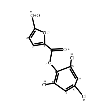 O=Cc1ccc(C(=O)Oc2c(Cl)cc(Cl)cc2Cl)o1